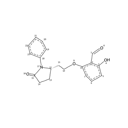 O=Cc1c(O)cccc1OCC[C@@H]1CCC(=O)N1c1ccccc1